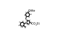 CCOC(=O)c1cc(Sc2ccc(OC)cc2)n(-c2cccnc2F)n1